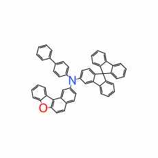 c1ccc(-c2ccc(N(c3ccc4c(c3)-c3ccccc3C43c4ccccc4-c4ccccc43)c3ccc4ccc5oc6ccccc6c5c4c3)cc2)cc1